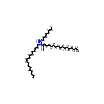 CCCCCCCC/C=C\CCCCCCCCN(NCCCCCCCC)NCCCCCCCCCCCCCCCC